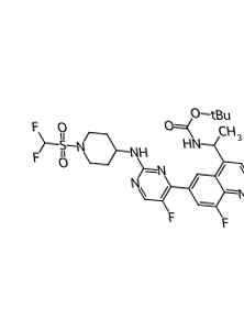 CC(NC(=O)OC(C)(C)C)c1ccnc2c(F)cc(-c3nc(NC4CCN(S(=O)(=O)C(F)F)CC4)ncc3F)cc12